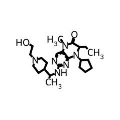 CCC1C(=O)N(C)c2cnc(NC(C)C3CCN(CCO)CC3)nc2N1C1CCCC1